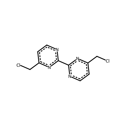 ClCc1ccnc(-c2nccc(CCl)n2)n1